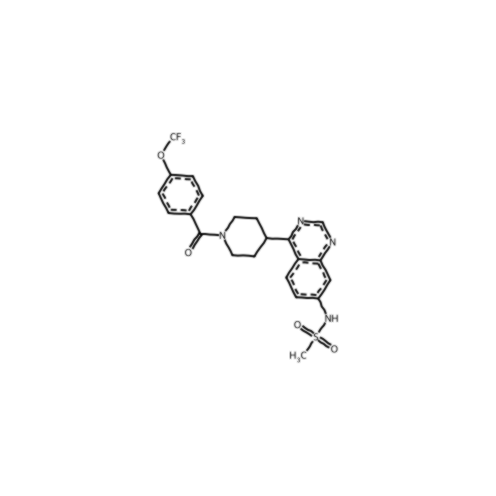 CS(=O)(=O)Nc1ccc2c(C3CCN(C(=O)c4ccc(OC(F)(F)F)cc4)CC3)ncnc2c1